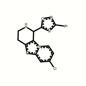 CC(C)c1noc(C2NCCc3nc4cc(Cl)ccn4c32)n1